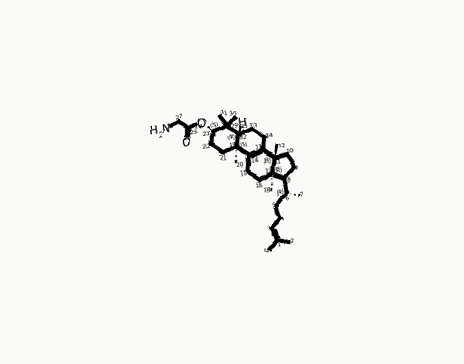 CC(C)=CCC[C@@H](C)C1CC[C@@]2(C)C3=C(CC[C@]12C)[C@@]1(C)CC[C@H](OC(=O)CN)C(C)(C)[C@@H]1CC3